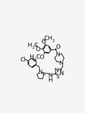 COc1cc(C(=O)N2CCN(Cc3nsc(NC[C@@H]4CCCN4Cc4ccc(Cl)cc4)n3)CC2)cc(OC)c1OC